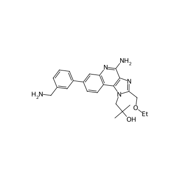 CCOCc1nc2c(N)nc3cc(-c4cccc(CN)c4)ccc3c2n1CC(C)(C)O